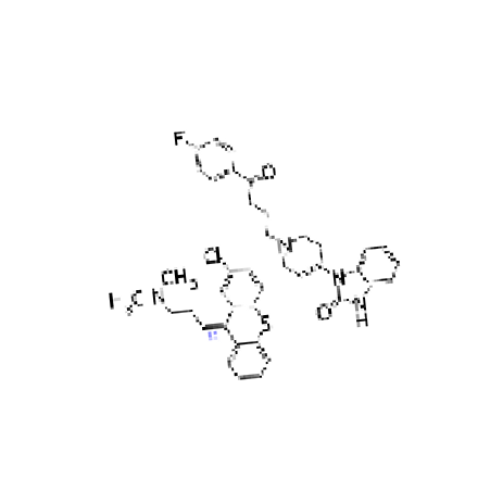 CN(C)CC/C=C1/c2ccccc2Sc2ccc(Cl)cc21.O=C(CCCN1CC=C(n2c(=O)[nH]c3ccccc32)CC1)c1ccc(F)cc1